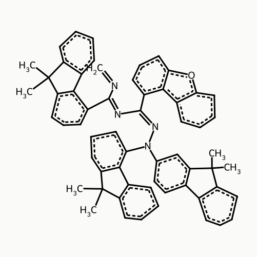 C=N/C(=N\C(=N/N(c1ccc2c(c1)C(C)(C)c1ccccc1-2)c1cccc2c1-c1ccccc1C2(C)C)c1cccc2oc3ccccc3c12)c1cccc2c1-c1ccccc1C2(C)C